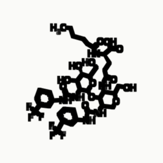 CCCCCC(=O)N[C@H](CCC(=O)N[C@H]1C(CO)OCC(NC(=O)Nc2cccc(C(F)(F)F)c2)C1O[C@@H]1OC(CO)[C@@H](O)C(O)C1NC(=O)Nc1cccc(C(F)(F)F)c1)C(=O)O